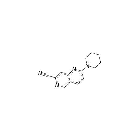 N#Cc1cc2nc(N3CCCCC3)ccc2cn1